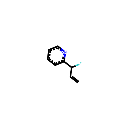 C=CC(F)c1ccccn1